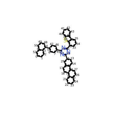 c1ccc2c(-c3ccc(-c4nc(-c5ccc6c(ccc7c8ccccc8ccc67)c5)nc(-c5cccc6c5sc5ccccc56)n4)cc3)cccc2c1